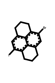 Brc1cc2c3c(c(I)cc4c3c1CCC4)CCC2